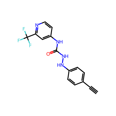 C#Cc1ccc(NNC(=O)Nc2ccnc(C(F)(F)F)c2)cc1